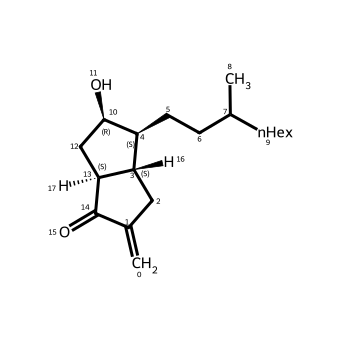 C=C1C[C@H]2[C@H](CCC(C)CCCCCC)[C@H](O)C[C@@H]2C1=O